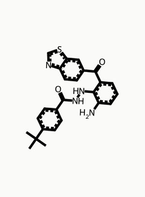 CC(C)(C)c1ccc(C(=O)NNc2c(N)cccc2C(=O)c2ccc3ncsc3c2)cc1